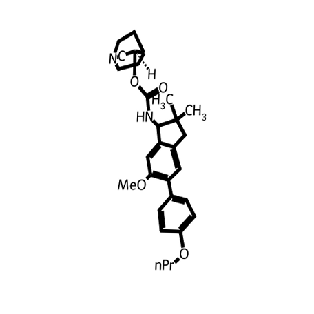 CCCOc1ccc(-c2cc3c(cc2OC)C(NC(=O)O[C@H]2CN4CCC2CC4)C(C)(C)C3)cc1